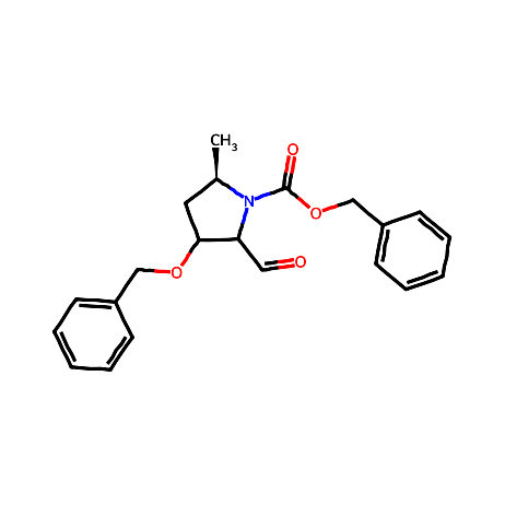 C[C@@H]1CC(OCc2ccccc2)C(C=O)N1C(=O)OCc1ccccc1